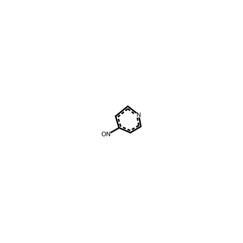 O=Nc1ccncc1